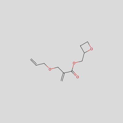 C=CCOCC(=C)C(=O)OCC1CCO1